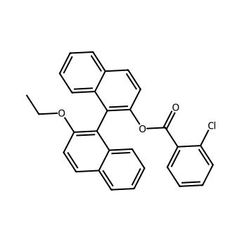 CCOc1ccc2ccccc2c1-c1c(OC(=O)c2ccccc2Cl)ccc2ccccc12